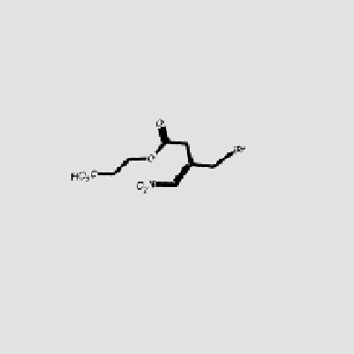 CC(C)CC(=C[N+](=O)[O-])CC(=O)OCCC(=O)O